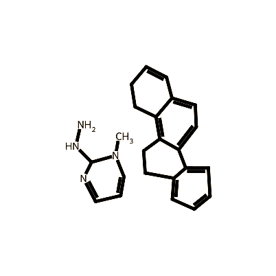 C1=Cc2ccc3c(c2CC1)CCc1ccccc1-3.CN1C=CC=NC1NN